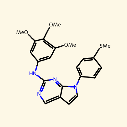 COc1cc(Nc2ncc3ccn(-c4ccc(SC)cc4)c3n2)cc(OC)c1OC